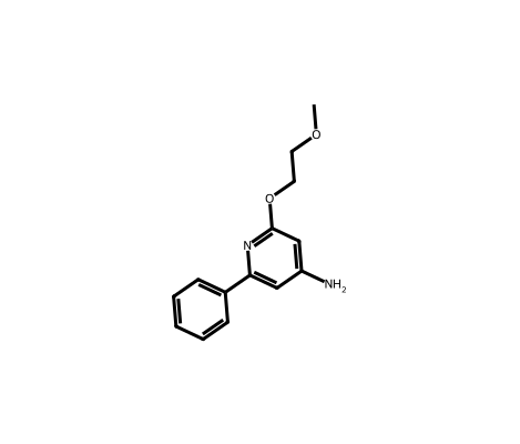 COCCOc1cc(N)cc(-c2ccccc2)n1